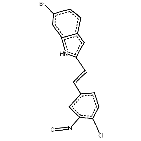 O=Nc1cc(/C=C/c2cc3ccc(Br)cc3[nH]2)ccc1Cl